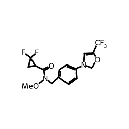 CON(Cc1ccc(N2C=C(C(F)(F)F)OC2)cc1)C(=O)C1CC1(F)F